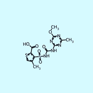 COc1nc(C)nc(NC(=O)NS(=O)(=O)c2c(C)csc2C(=O)O)n1